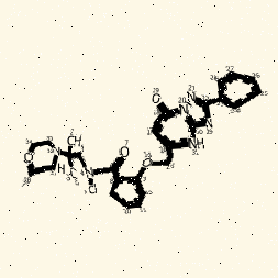 CC(C)(CN(Cl)C(=O)c1ccccc1OCc1cc(=O)n2nc(-c3ccccc3)nc2[nH]1)N1CCOCC1